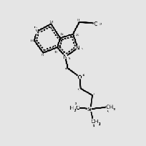 C[Si](C)(C)CCOCn1nc(CCl)c2cnccc21